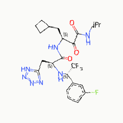 CC(C)NC(=O)C(=O)[C@H](CC1CCC1)NC(=O)[C@H](Cc1nnn[nH]1)N[C@@H](c1cccc(F)c1)C(F)(F)F